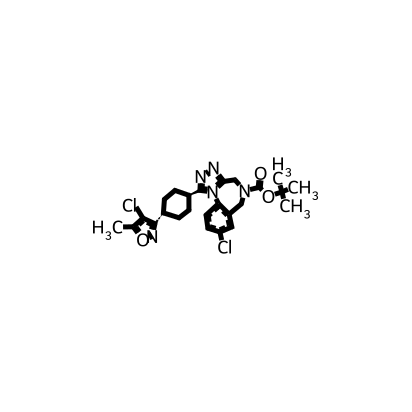 Cc1onc([C@H]2CC[C@H](c3nnc4n3-c3ccc(Cl)cc3CN(C(=O)OC(C)(C)C)C4)CC2)c1Cl